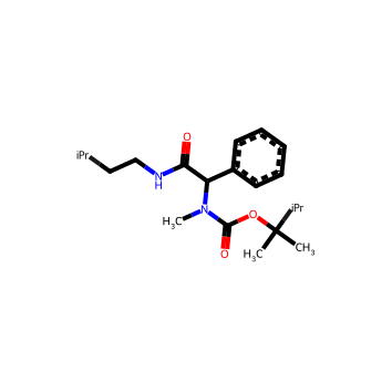 CC(C)CCNC(=O)C(c1ccccc1)N(C)C(=O)OC(C)(C)C(C)C